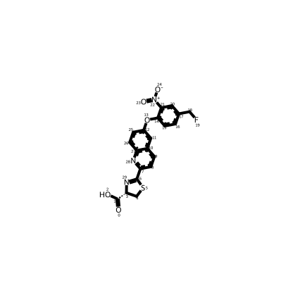 O=C(O)[C@H]1CSC(c2ccc3cc(Oc4ccc(CF)cc4[N+](=O)[O-])ccc3n2)=N1